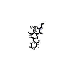 C=C/C=C(\NC)C(=C)c1nc(N2CCOCC2C)cc(C)c1C